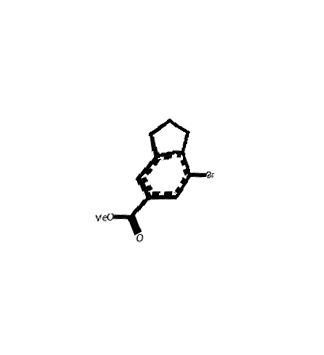 COC(=O)c1cc(Br)c2c(c1)CCC2